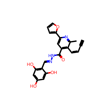 C#C/C=C\c1c(C(=O)N/N=C/c2c(O)cc(O)cc2O)cc(-c2ccco2)nc1C